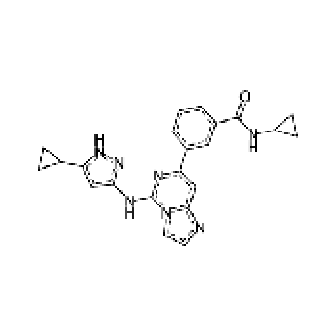 O=C(NC1CC1)c1cccc(-c2cc3nccn3c(Nc3cc(C4CC4)[nH]n3)n2)c1